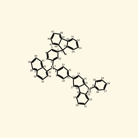 CC1(c2cccc(N(c3ccc(-c4ccc5c(c4)c4ccccc4n5-c4ccccc4)cc3)c3cccc4ccccc34)c2)c2ccccc2-c2ccccc21